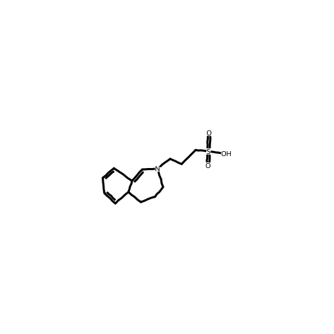 O=S(=O)(O)CCCN1C=C2C=CC=CC2CCC1